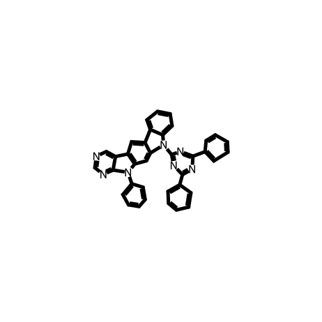 c1ccc(-c2nc(-c3ccccc3)nc(-n3c4ccccc4c4cc5c6cncnc6n(-c6ccccc6)c5cc43)n2)cc1